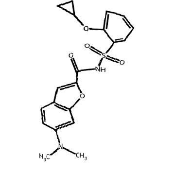 CN(C)c1ccc2cc(C(=O)NS(=O)(=O)c3ccccc3OC3CC3)oc2c1